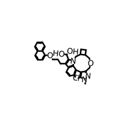 Cc1c2c(nn1C)COCC1CCC1Cn1c(C(O)O)c(CCCOc3cccc4ccccc34)c3ccc(Cl)c-2c31